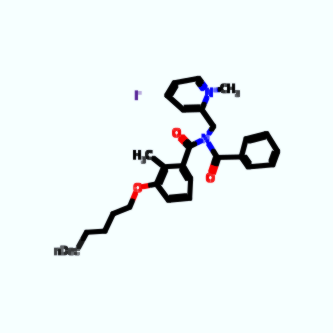 CCCCCCCCCCCCCCOc1cccc(C(=O)N(Cc2cccc[n+]2C)C(=O)c2ccccc2)c1C.[I-]